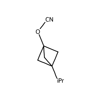 CC(C)C12CC(OC#N)(C1)C2